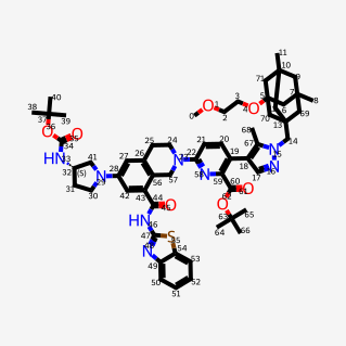 COCCOC12CC3(C)CC(C)(CC(Cn4ncc(-c5ccc(N6CCc7cc(N8CC[C@H](NC(=O)OC(C)(C)C)C8)cc(C(=O)Nc8nc9ccccc9s8)c7C6)nc5C(=O)OC(C)(C)C)c4C)(C3)C1)C2